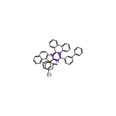 C=C1CC(CC)CC(C)C12c1ccc(-c3ccccc3-c3ccccc3-c3nc(-c4ccccc4)nc(-c4cccc(-c5ccccc5)c4)n3)cc1-c1ccc3ccccc3c12